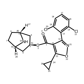 O=C(O[C@@H]1C[C@H]2CC[C@@H](C1)N2)c1c(-c2c(Cl)cccc2Cl)noc1C1CC1